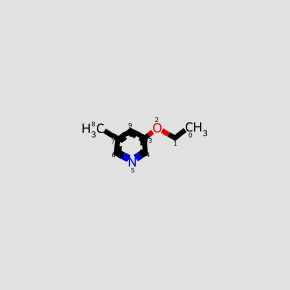 CCOc1cncc(C)c1